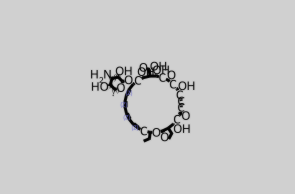 CCC1C\C=C/C=C\C=C/C=C\C(OC2O[C@H](C)[C@@H](O)[C@H](N)[C@@H]2O)CC(O)C(C(=O)O)C(O)CC(=O)CC(O)CCCC(=O)CC(O)C(CC)C(=O)O1